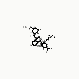 COCOc1cc(C(F)F)ccc1-c1nnc(N[C@@H]2CCCN(C(=O)O)C2)c2ccccc12